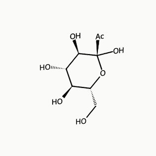 CC(=O)[C@@]1(O)O[C@H](CO)[C@@H](O)[C@H](O)[C@H]1O